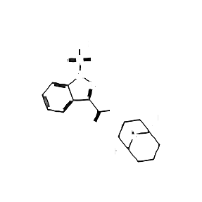 CN1[C@@H]2CCC[C@H]1C[C@H](OC(=O)c1nn(S(C)(=O)=O)c3ccccc13)C2